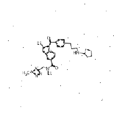 CCc1cc2cc(C(=O)N(CC)Cc3nnn(C)n3)ccn2c1C(=O)c1ccc(CCCNC2CCCC2)cc1